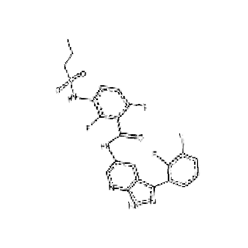 CCCS(=O)(=O)Nc1ccc(F)c(C(=O)Nc2cnc3[nH]nc(-c4cccc(F)c4F)c3c2)c1F